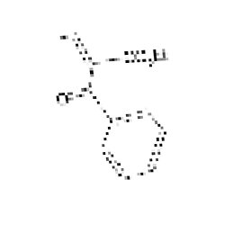 C/C=C(/C(=O)OCC)C(=O)c1ccccc1